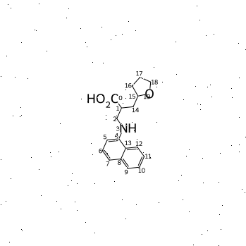 O=C(O)C(CNc1cccc2ccccc12)CC1CCCO1